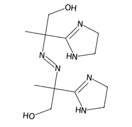 CC(CO)(N=NC(C)(CO)C1=NCCN1)C1=NCCN1